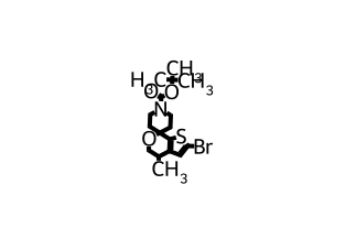 CC1COC2(CCN(C(=O)OC(C)(C)C)CC2)c2sc(Br)cc21